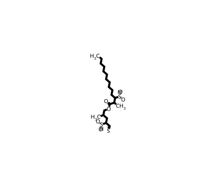 CCCCCCCCCCCC(C(C)C(=O)OCC(C)CC(C=S)[SH](=O)=O)[SH](=O)=O